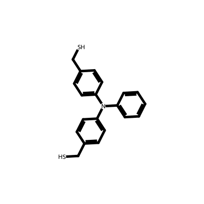 SCc1ccc(N(c2ccccc2)c2ccc(CS)cc2)cc1